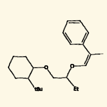 CCC(COC1CCCCC1C(C)(C)C)OC=C(C)c1ccccc1